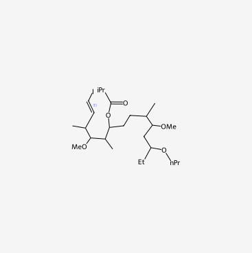 CCCOC(CC)CC(OC)C(C)CCC(OC(=O)C(C)C)C(C)C(OC)C(C)/C=C/I